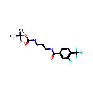 CC(C)(C)OC(=O)NCCCNC(=O)c1ccc(C(F)(F)F)c(F)c1